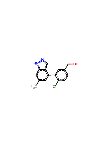 OCc1ccc(Cl)c(-c2cc(C(F)(F)F)cc3[nH]ncc23)c1